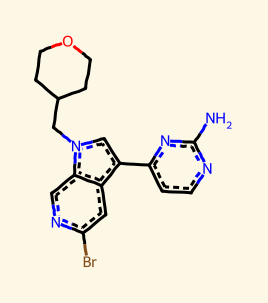 Nc1nccc(-c2cn(CC3CCOCC3)c3cnc(Br)cc23)n1